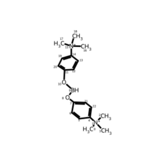 C[N+](C)(C)c1ccc(OBOc2ccc([N+](C)(C)C)cc2)cc1